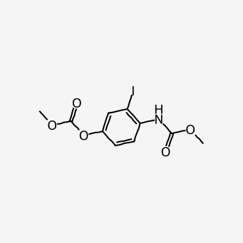 COC(=O)Nc1ccc(OC(=O)OC)cc1I